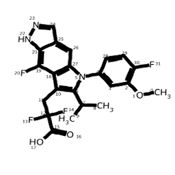 COc1cc(-n2c(C(C)C)c(CC(F)(F)C(=O)O)c3c(F)c4[nH]ncc4cc32)ccc1F